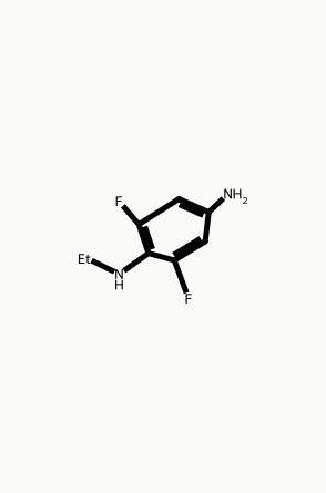 CCNc1c(F)cc(N)cc1F